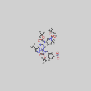 CC(C)c1cnn2c(N(Cc3cccc([N+](=O)[O-])c3)C(=O)OC(C)(C)C)nc(N(C(=O)OC(C)(C)C)C3CCC(C)(C)N(C(=O)OC(C)(C)C)C3)nc12